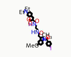 CCN(CC)c1ccc2cc(C(=O)NCCCNC(=O)Cc3c(C)n(C(=O)c4ccc(I)cc4)c4ccc(OC)cc34)c(=O)oc2c1